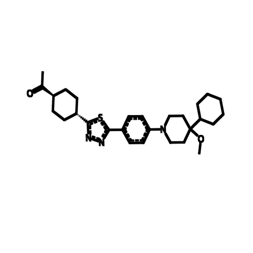 COC1(C2CCCCC2)CCN(c2ccc(-c3nnc([C@H]4CC[C@H](C(C)=O)CC4)s3)cc2)CC1